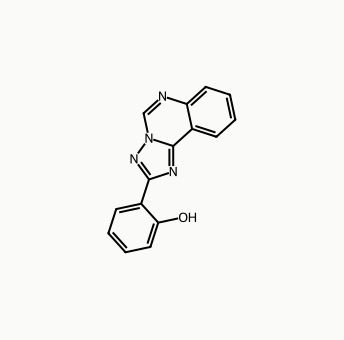 Oc1ccccc1-c1nc2c3ccccc3ncn2n1